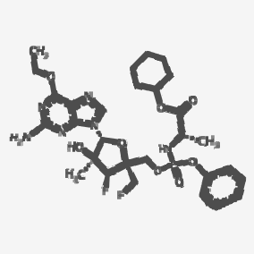 CCOc1nc(N)nc2c1ncn2[C@@H]1O[C@](CF)(COP(=O)(N[C@@H](C)C(=O)OC2CCCCC2)Oc2ccccc2)[C@@H](F)[C@@]1(C)O